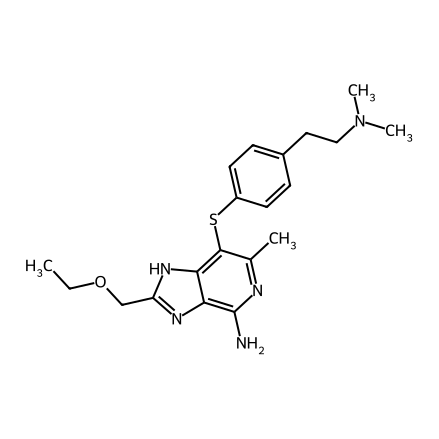 CCOCc1nc2c(N)nc(C)c(Sc3ccc(CCN(C)C)cc3)c2[nH]1